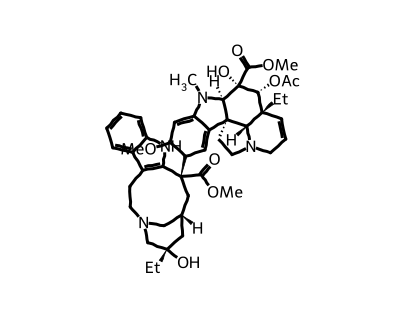 CC[C@]1(O)C[C@@H]2CN(CCc3c([nH]c4ccccc34)[C@@](C(=O)OC)(C3C=C4C(=CC3OC)N(C)[C@H]3[C@@](O)(C(=O)OC)[C@H](OC(C)=O)[C@]5(CC)C=CCN6CC[C@]43[C@@H]65)C2)C1